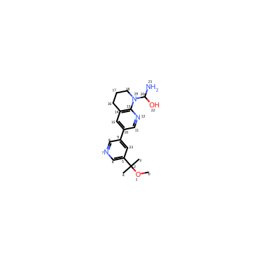 COC(C)(C)c1cncc(-c2cnc3c(c2)CCCN3C(N)O)c1